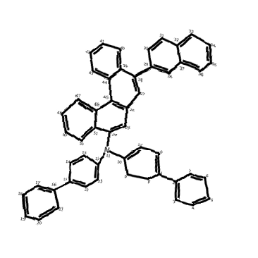 C1=C(c2ccccc2)CCC(N(c2ccc(-c3ccccc3)cc2)c2cc3cc(-c4ccc5ccccc5c4)c4ccccc4c3c3ccccc23)=C1